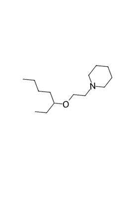 CCCCC(CC)OCCN1CCCCC1